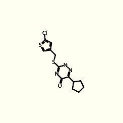 O=C1N=C(SCc2csc(Cl)c2)[N]N=C1C1CCCC1